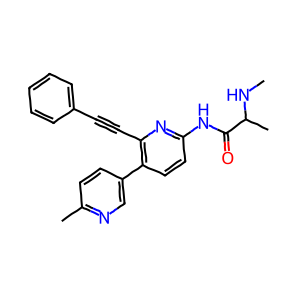 CNC(C)C(=O)Nc1ccc(-c2ccc(C)nc2)c(C#Cc2ccccc2)n1